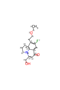 CCOCCc1c(F)cc2c(=O)cc(CO)n3c2c1CCC3